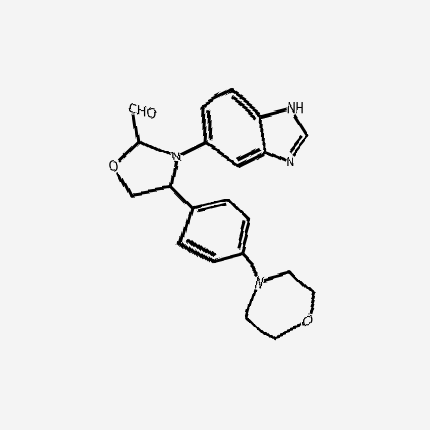 O=CC1OCC(c2ccc(N3CCOCC3)cc2)N1c1ccc2[nH]cnc2c1